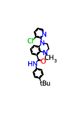 CN1CCN(c2ncccc2Cl)c2cccc(C(=O)Nc3ccc(C(C)(C)C)cc3)c21